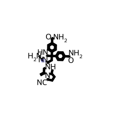 C=C(CN[C@H](C)CC(C(=N)/N=N\N)(c1ccc(C(N)=O)cc1)c1ccc(C(N)=O)cc1)N1C(C)CCC1C#N